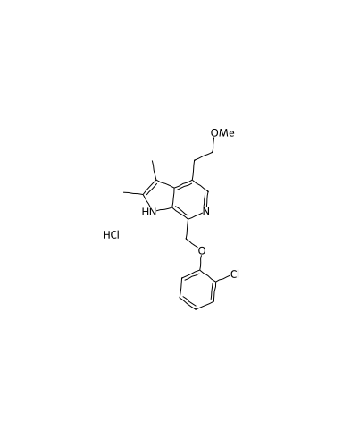 COCCc1cnc(COc2ccccc2Cl)c2[nH]c(C)c(C)c12.Cl